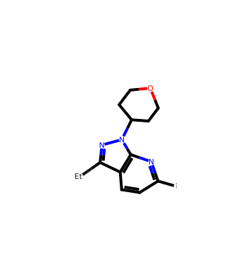 [C]c1ccc2c(CC)nn(C3CCOCC3)c2n1